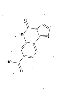 O=C(O)c1ccc2c(c1)[nH]c(=O)n1ccnc21